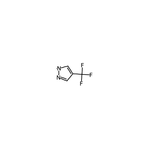 FC(F)(F)C1=C[N]N=C1